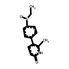 CC[S+]([O-])c1ccc(-c2ccc(=O)[nH]c2C)cc1